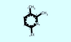 CCc1ccc(C)c(C)n1